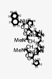 CN[C@@H](C)C(=O)N[C@@H](Cc1cn(CCn2cc(C[C@H](NC(=O)[C@H](C)NC)C(=O)N3CCC[C@H]3C(=O)N[C@@H]3CCCc4ccccc43)nn2)nn1)C(=O)N1CCCC1